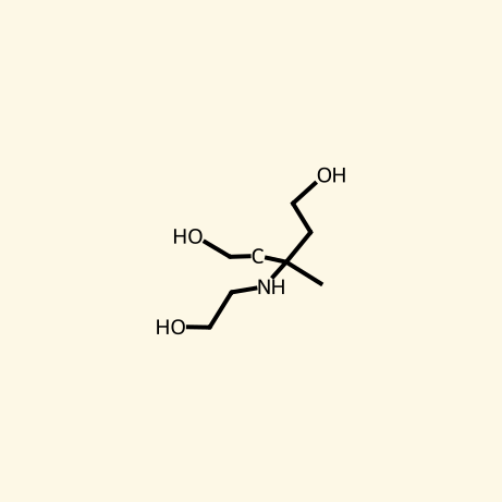 CC(CCO)(CCO)NCCO